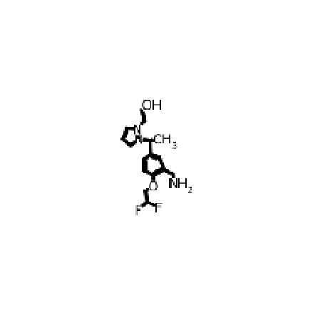 CC(c1ccc(OCC(F)F)c(CN)c1)N1CC=CN1CCO